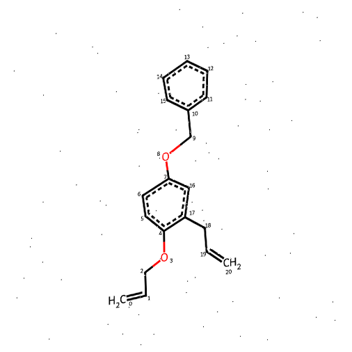 C=CCOc1ccc(OCc2ccccc2)cc1CC=C